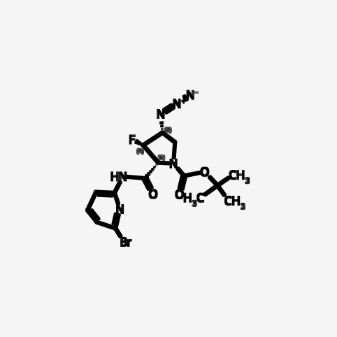 CC(C)(C)OC(=O)N1C[C@@H](N=[N+]=[N-])[C@H](F)[C@H]1C(=O)Nc1cccc(Br)n1